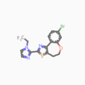 FC(F)(F)Cn1ccnc1-c1nc2c(s1)CCOc1cc(Br)ccc1-2